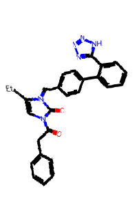 CCc1cn(C(=O)Cc2ccccc2)c(=O)n1Cc1ccc(-c2ccccc2-c2nnn[nH]2)cc1